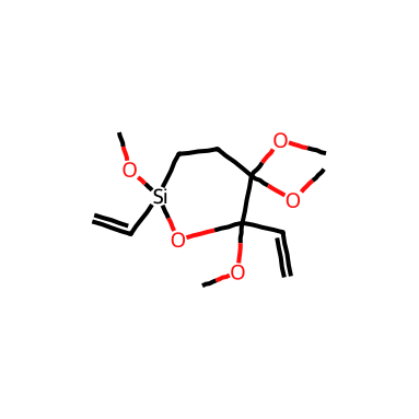 C=CC1(OC)O[Si](C=C)(OC)CCC1(OC)OC